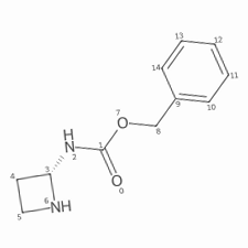 O=C(N[C@H]1CCN1)OCc1ccccc1